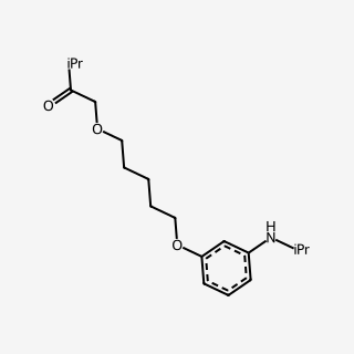 CC(C)Nc1cccc(OCCCCCOCC(=O)C(C)C)c1